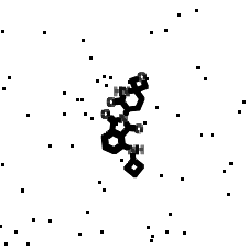 O=C1NC2(CCC1N1C(=O)c3cccc(NC4CCC4)c3C1=O)COC2